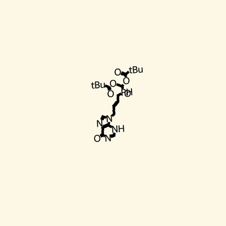 CC(C)(C)C(=O)OC(OC(=O)C(C)(C)C)[PH](=O)C/C=C/Cn1cnc2c(=O)nc[nH]c21